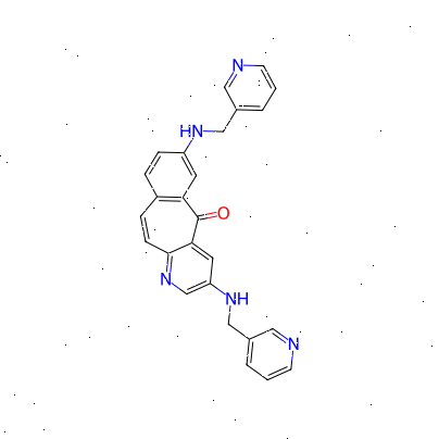 O=c1c2cc(NCc3cccnc3)ccc2ccc2ncc(NCc3cccnc3)cc12